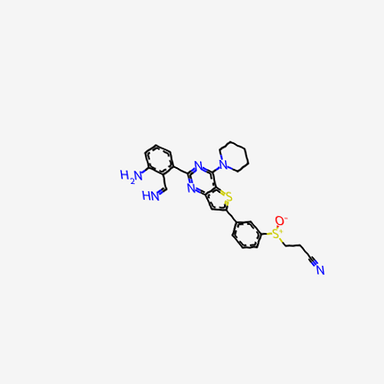 N#CCC[S+]([O-])c1cccc(-c2cc3nc(-c4cccc(N)c4C=N)nc(N4CCCCC4)c3s2)c1